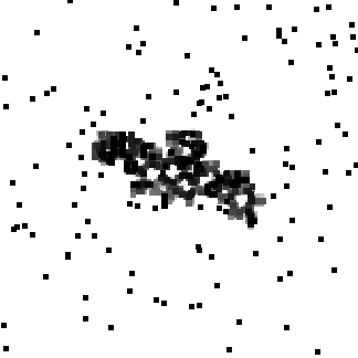 COc1cc(-c2c(F)ccc3c2n(C)c(=O)n3CC(=O)Nc2ccc(F)cc2)cc(F)c1OCc1nnc[nH]1.Cl